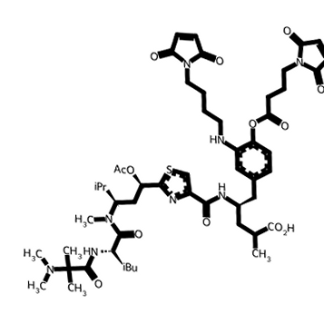 CC[C@H](C)[C@H](NC(=O)C(C)(C)N(C)C)C(=O)N(C)[C@H](C[C@@H](OC(C)=O)c1nc(C(=O)N[C@@H](Cc2ccc(OC(=O)CCCN3C(=O)C=CC3=O)c(NCCCCN3C(=O)C=CC3=O)c2)CC(C)C(=O)O)cs1)C(C)C